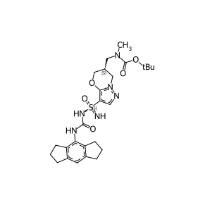 CN(C[C@@H]1COc2c([S@](=N)(=O)NC(=O)Nc3c4c(cc5c3CCC5)CCC4)cnn2C1)C(=O)OC(C)(C)C